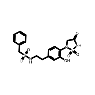 O=C1CN(c2ccc(CCNS(=O)(=O)Cc3ccccc3)cc2O)S(=O)(=O)N1